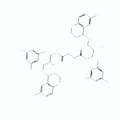 CCc1ccc2c(c1)C(NC[C@H](O)[C@H](Cc1cc(F)cc(F)c1)NC(=O)CCC(=O)N[C@@H](Cc1cc(F)cc(F)c1)[C@@H](O)CNC1CCOc3ccc(I)cc31)CCO2